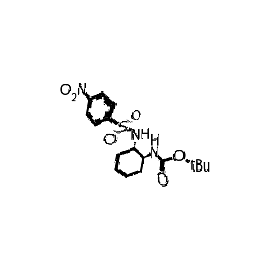 CC(C)(C)OC(=O)N[C@H]1CCCC[C@@H]1NS(=O)(=O)c1ccc([N+](=O)[O-])cc1